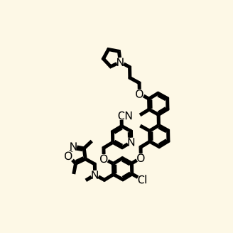 Cc1noc(C)c1CN(C)Cc1cc(Cl)c(OCc2cccc(-c3cccc(OCCCN4CCCC4)c3C)c2C)cc1OCc1cncc(C#N)c1